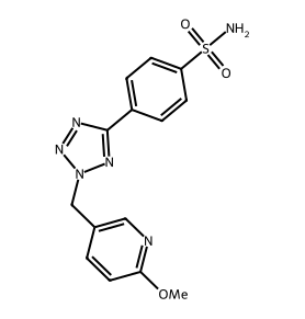 COc1ccc(Cn2nnc(-c3ccc(S(N)(=O)=O)cc3)n2)cn1